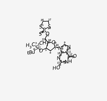 CC(C)(C)[Si](C)(C)OC1C[C@H](n2cnc3c(=O)[nH]c(O)nc32)O[C@@H]1COP1(=S)SCCS1